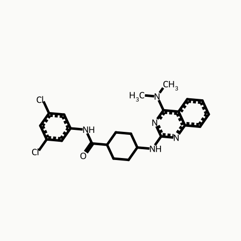 CN(C)c1nc(NC2CCC(C(=O)Nc3cc(Cl)cc(Cl)c3)CC2)nc2ccccc12